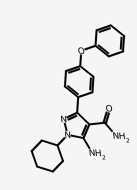 NC(=O)c1c(-c2ccc(Oc3ccccc3)cc2)nn(C2CCCCC2)c1N